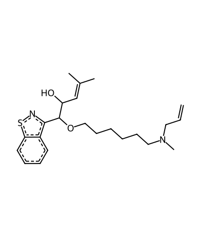 C=CCN(C)CCCCCCOC(c1nsc2ccccc12)C(O)C=C(C)C